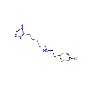 Clc1ccc(CCNCCCCCc2ncc[nH]2)cc1